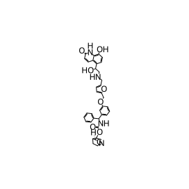 O=C(NC(c1ccccc1)c1cccc(OCc2ccc(CNC[C@@H](O)c3ccc(O)c4[nH]c(=O)ccc34)o2)c1)O[C@H]1CN2CCC1CC2